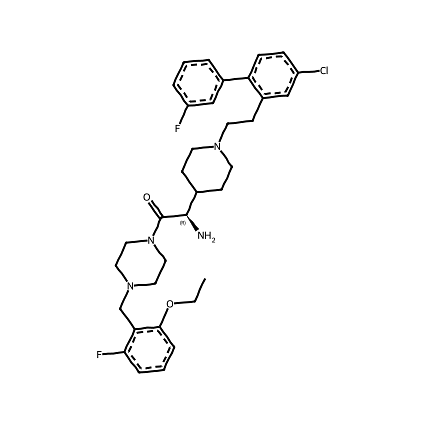 CCOc1cccc(F)c1CN1CCN(C(=O)[C@H](N)C2CCN(CCc3cc(Cl)ccc3-c3cccc(F)c3)CC2)CC1